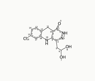 O=c1[nH]nc(CC(O)O)c2c1Cc1ccc(Cl)cc1N2